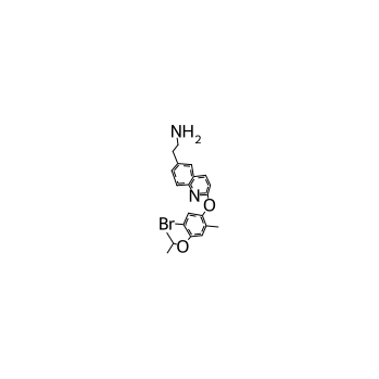 Cc1cc(OC(C)C)c(Br)cc1Oc1ccc2cc(CCN)ccc2n1